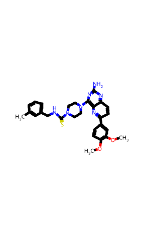 COc1ccc(-c2ccc3nc(N)nc(N4CCN(C(=S)NCc5cccc(C)c5)CC4)c3n2)cc1OC